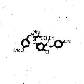 CCOC(=O)c1nnn(Cc2ccc(OC)cc2)c1Oc1ccc(Cl)c(OCc2ccc(C#N)cc2)c1